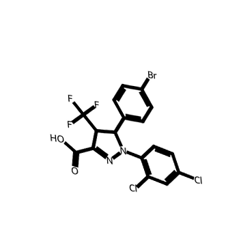 O=C(O)C1=NN(c2ccc(Cl)cc2Cl)C(c2ccc(Br)cc2)C1C(F)(F)F